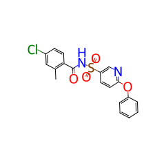 Cc1cc(Cl)ccc1C(=O)NS(=O)(=O)c1ccc(Oc2ccccc2)nc1